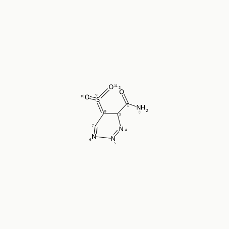 NC(=O)C1N=NN=CC1=S(=O)=O